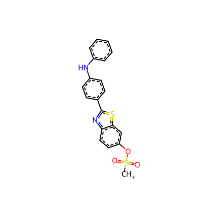 CS(=O)(=O)Oc1ccc2nc(-c3ccc(Nc4ccccc4)cc3)sc2c1